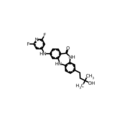 CC(C)(O)CCc1ccc2c(c1)NC(=O)c1ccc(Nc3cc(F)nc(F)c3)cc1N2